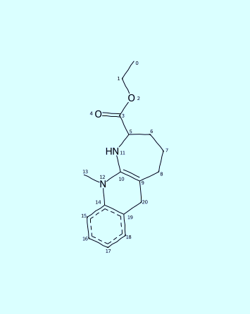 CCOC(=O)C1CCCC2=C(N1)N(C)c1ccccc1C2